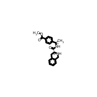 COC(=O)c1ccc([C@H](C)NC(=O)[C@H]2Cc3ccccc3CN2)cc1